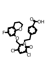 O=C(O)c1ccc(CCn2c(COc3cc(F)cc4c3OCCC4)c(Cl)cc(Cl)c2=O)cc1